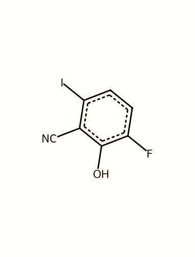 N#Cc1c(I)ccc(F)c1O